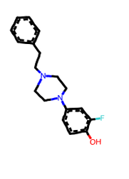 Oc1ccc(N2CCN(CCc3ccccc3)CC2)cc1F